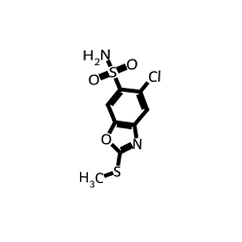 CSc1nc2cc(Cl)c(S(N)(=O)=O)cc2o1